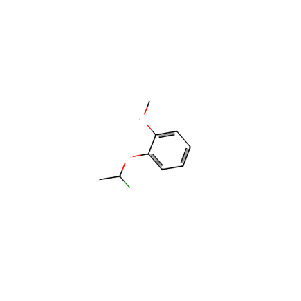 COc1ccccc1OC(C)Br